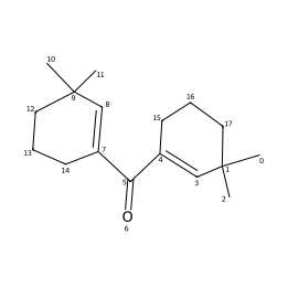 CC1(C)C=C(C(=O)C2=CC(C)(C)CCC2)CCC1